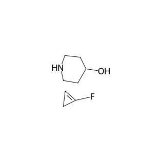 FC1=CC1.OC1CCNCC1